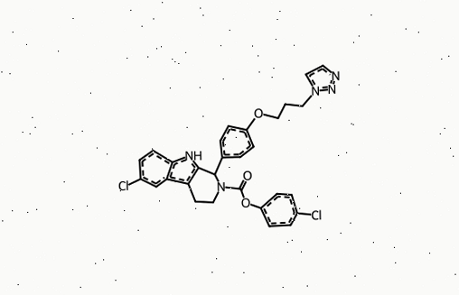 O=C(Oc1ccc(Cl)cc1)N1CCc2c([nH]c3ccc(Cl)cc23)C1c1ccc(OCCCn2ccnn2)cc1